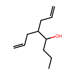 C=CCC(CC=C)C(O)CCC